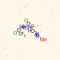 O=C(Nc1ccc(Cl)cc1C(=O)N/N=C/c1ccc(Cl)c(C(F)(F)F)c1)c1cccc(Cn2cc(CCO)nn2)c1